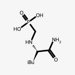 CC[C@H](C)[C@H](NCP(=O)(O)O)C(N)=O